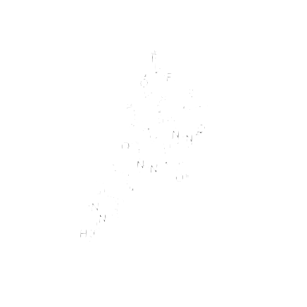 Cn1cc2cc(-n3nc(C=O)c(N(CC4CC4)N=O)c(-c4ccc(OC(F)F)cc4)c3=O)ccc2n1